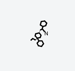 CCC[C@]1(C2CCCCC2)CC[C@@H](CC(C#N)C2CCCCC2)CC1